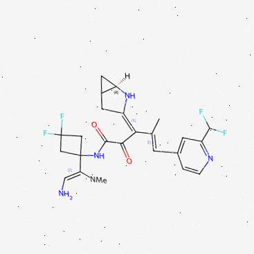 CN/C(=C\N)C1(NC(=O)C(=O)C(/C(C)=C/c2ccnc(C(F)F)c2)=C2\CC3C[C@H]3N2)CC(F)(F)C1